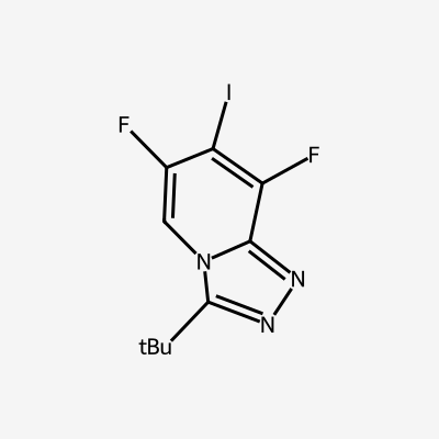 CC(C)(C)c1nnc2c(F)c(I)c(F)cn12